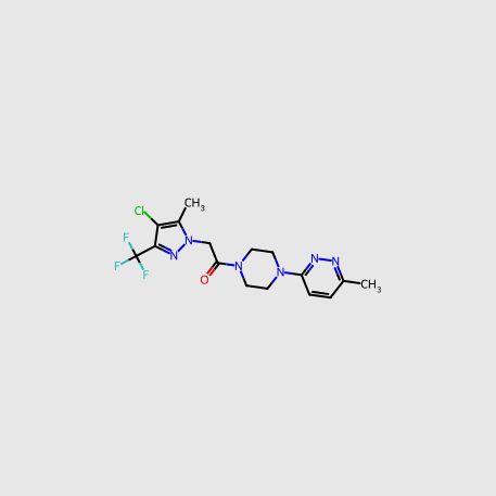 Cc1ccc(N2CCN(C(=O)Cn3nc(C(F)(F)F)c(Cl)c3C)CC2)nn1